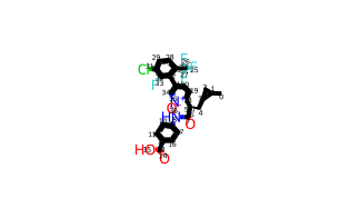 CC1CC1C[C@@H](C(=O)Nc1ccc(C(=O)O)cc1)c1ccc(-c2c(C(F)(F)F)ccc(Cl)c2F)c[n+]1[O-]